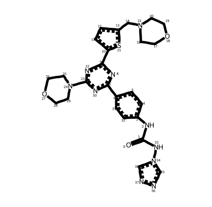 O=C(Nc1ccc(-c2nc(-c3ccc(CN4CCOCC4)s3)nc(N3CCOCC3)n2)cc1)Nn1cnnc1